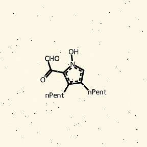 CCCCCc1cn(O)c(C(=O)C=O)c1CCCCC